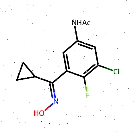 CC(=O)Nc1cc(Cl)c(F)c(C(=NO)C2CC2)c1